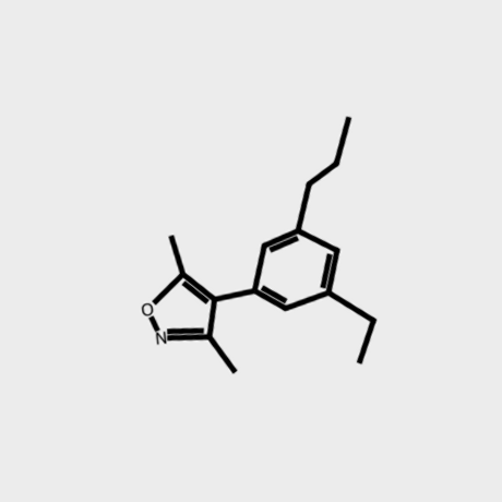 CCCc1cc(CC)cc(-c2c(C)noc2C)c1